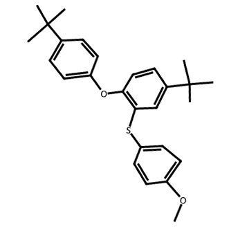 COc1ccc(Sc2cc(C(C)(C)C)ccc2Oc2ccc(C(C)(C)C)cc2)cc1